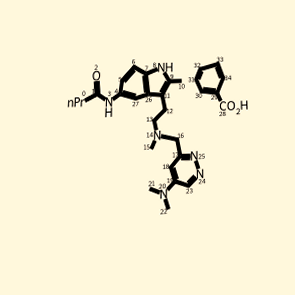 CCCC(=O)Nc1ccc2[nH]c(C)c(CCN(C)Cc3cc(N(C)C)cnn3)c2c1.O=C(O)c1ccccc1